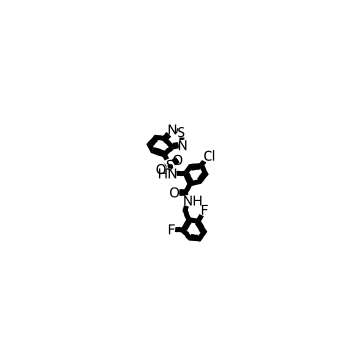 O=C(NCc1c(F)cccc1F)c1ccc(Cl)cc1NS(=O)(=O)c1cccc2nsnc12